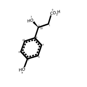 O=C(O)C[C@H](O)c1ccc(O)cc1